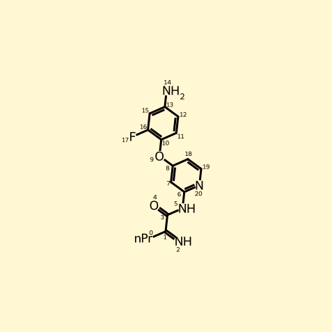 CCCC(=N)C(=O)Nc1cc(Oc2ccc(N)cc2F)ccn1